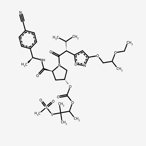 CCOC(C)COc1cc([C@H](C(=O)N2C[C@H](OC(=O)OC(C)C(C)(C)SS(C)(=O)=O)C[C@H]2C(=O)N[C@@H](C)c2ccc(C#N)cc2)C(C)C)on1